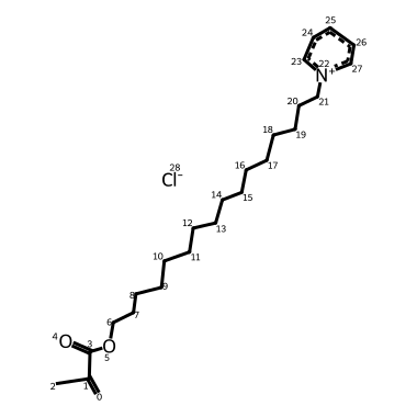 C=C(C)C(=O)OCCCCCCCCCCCCCCCC[n+]1ccccc1.[Cl-]